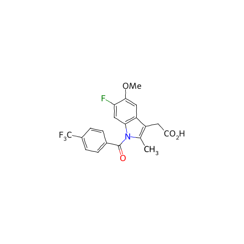 COc1cc2c(CC(=O)O)c(C)n(C(=O)c3ccc(C(F)(F)F)cc3)c2cc1F